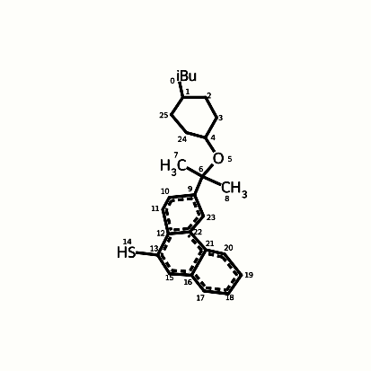 CCC(C)C1CCC(OC(C)(C)c2ccc3c(S)cc4ccccc4c3c2)CC1